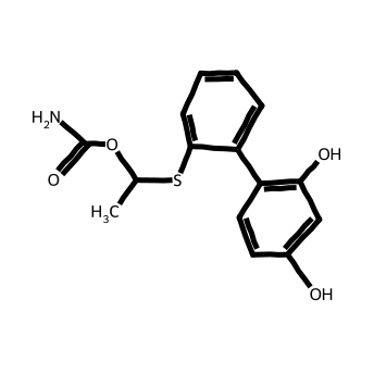 CC(OC(N)=O)Sc1ccccc1-c1ccc(O)cc1O